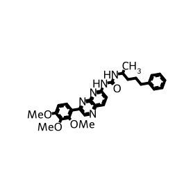 COc1ccc(-c2cnc3ccc(NC(=O)NC(C)CCCc4ccccc4)nc3n2)c(OC)c1OC